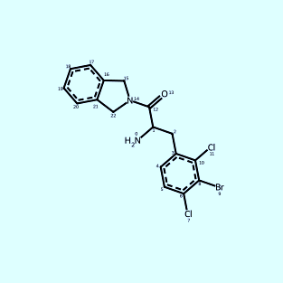 NC(Cc1ccc(Cl)c(Br)c1Cl)C(=O)N1Cc2ccccc2C1